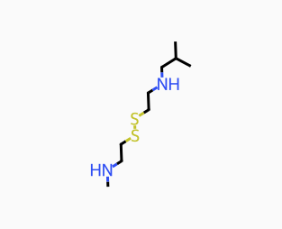 CNCCSSCCNCC(C)C